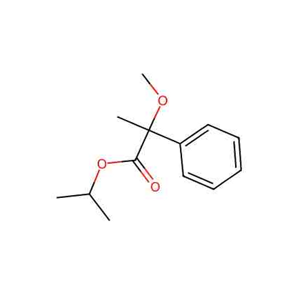 COC(C)(C(=O)OC(C)C)c1ccccc1